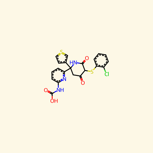 O=C(O)Nc1cccc(C2(c3ccsc3)CC(=O)C(Sc3ccccc3Cl)C(=O)N2)n1